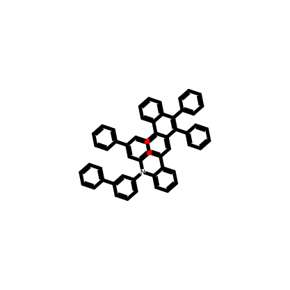 c1ccc(-c2cccc(N(c3cccc(-c4ccccc4)c3)c3ccccc3-c3ccc4c(c3)c(-c3ccccc3)c(-c3ccccc3)c3ccccc34)c2)cc1